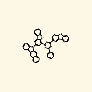 c1ccc(-c2nc(-c3ccc4oc5ccccc5c4c3)nc(-c3cc(-n4c5ccccc5c5cc6ccccc6cc54)cc4c3oc3ccccc34)n2)cc1